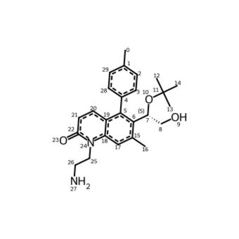 Cc1ccc(-c2c([C@@H](CO)OC(C)(C)C)c(C)cc3c2ccc(=O)n3CCN)cc1